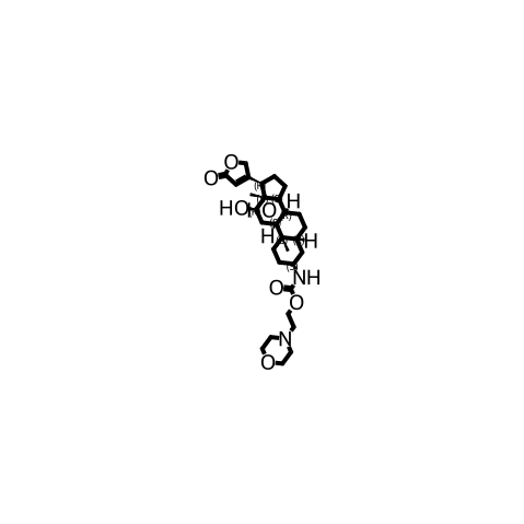 C[C@]12CC[C@H](NC(=O)OCCN3CCOCC3)C[C@H]1CC[C@@H]1[C@@H]2C[C@@H](O)[C@]2(C)[C@@H](C3=CC(=O)OC3)CC[C@]12O